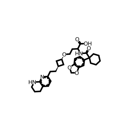 O=C(O)C(CCO[C@H]1C[C@H](CCc2ccc3c(n2)NCCC3)C1)NC(=O)C1(c2ccc3c(c2)OCO3)CCCCC1